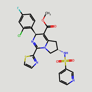 COC(=O)C1=C2C[C@H](NS(=O)(=O)c3cccnc3)CN2C(c2nccs2)=N[C@H]1c1ccc(F)cc1Cl